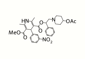 COC(=O)C1=C(C)NC(C)=C(C(=O)OC(CN2CCC(OC(C)=O)CC2)c2ccccc2)C1c1cccc([N+](=O)[O-])c1